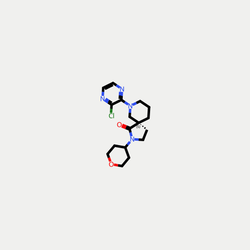 O=C1N(C2CCOCC2)CC[C@]12CCCN(c1nccnc1Cl)C2